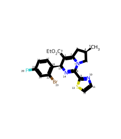 CCOC(=O)C1=C2C[C@@H](C)CN2C(c2nccs2)=N[C@H]1c1ccc(F)cc1Br